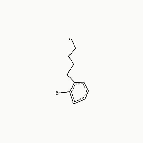 [CH]CCCCc1ccccc1Br